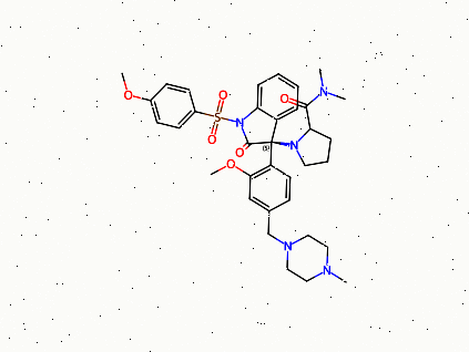 COc1ccc(S(=O)(=O)N2C(=O)[C@](c3ccc(CN4CCN(C)CC4)cc3OC)(N3CCCC3C(=O)N(C)C)c3ccccc32)cc1